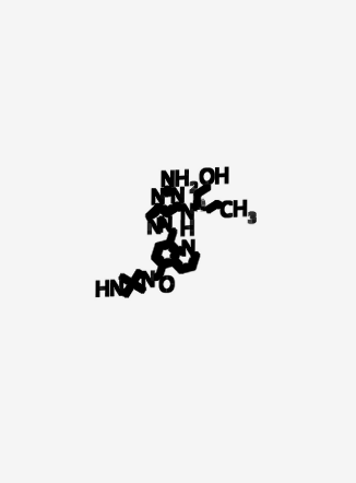 CCC[C@@H](CCO)Nc1nc(N)nc2cnn(Cc3ccc(C(=O)N4CC5(CNC5)C4)c4cccnc34)c12